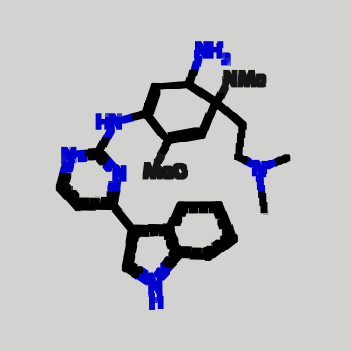 CNC1(CCN(C)C)C=C(OC)C(Nc2nccc(-c3c[nH]c4ccccc34)n2)=CC1N